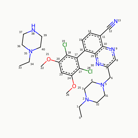 CCN1CCN(Cc2cnc3c(C#N)ccc(-c4c(Cl)c(OC)cc(OC)c4Cl)c3n2)CC1.CCN1CCNCC1